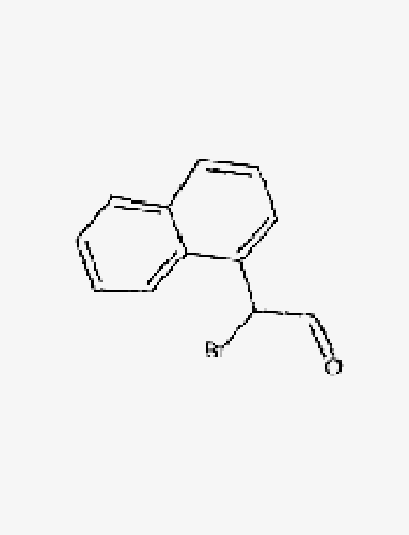 O=CC(Br)c1cccc2ccccc12